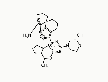 C[C@H](Oc1cc(N2CCN[C@@H](C)C2)nc(-c2noc3c2CCC[C@@]32CCCc3sc(N)c(C#N)c32)n1)[C@@H]1CCCN1C